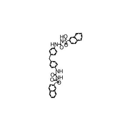 O=C(Nc1ccc(Cc2ccc(NC(=O)NS(=O)(=O)c3ccc4ccccc4c3)cc2)cc1)NS(=O)(=O)c1ccc2ccccc2c1